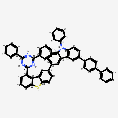 c1ccc(-c2ccc(-c3ccc4c(c3)c3cc(-c5ccc6sc7cccc(-c8nc(-c9ccccc9)nc(-c9ccccc9)n8)c7c6c5)ccc3n4-c3ccccc3)cc2)cc1